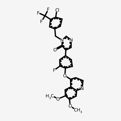 COc1cc2nccc(Oc3ccc(-c4cncn(Cc5ccc(Cl)c(C(F)(F)F)c5)c4=O)cc3F)c2cc1OC